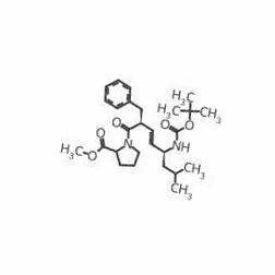 COC(=O)C1CCCN1C(=O)[C@H](/C=C/[C@H](CC(C)C)NC(=O)OC(C)(C)C)Cc1ccccc1